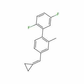 Cc1cc(C=C2CC2)ccc1-c1cc(F)ccc1F